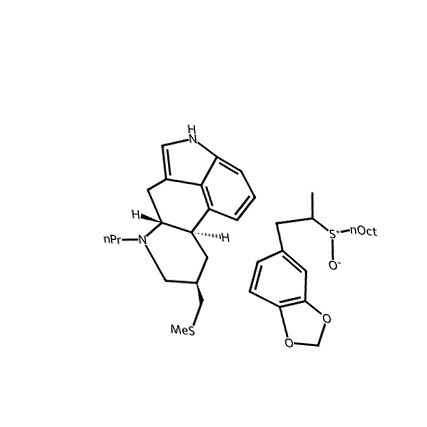 CCCCCCCC[S+]([O-])C(C)Cc1ccc2c(c1)OCO2.CCCN1C[C@H](CSC)C[C@@H]2c3cccc4[nH]cc(c34)C[C@H]21